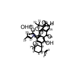 C=C(C)[C@@H]1CC[C@@]2(C)CC1c1c(O)c3c(c(CC=C(C)C)c1O2)O[C@]12C(=C[C@@H]4CC1C(C)(C)OC2(C/C=C(/C)OC=O)C4=O)C3=O